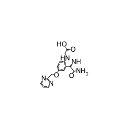 N=C(C(N)=O)c1cc(OCc2ncccn2)ccc1NCC(=O)O